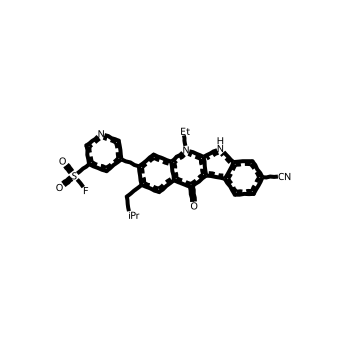 CCn1c2cc(-c3cncc(S(=O)(=O)F)c3)c(CC(C)C)cc2c(=O)c2c3ccc(C#N)cc3[nH]c21